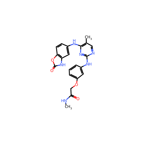 CNC(=O)COc1cccc(Nc2ncc(C)c(Nc3ccc4oc(=O)[nH]c4c3)n2)c1